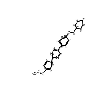 CCCCCCCCOc1ccc(-c2ncc(-c3ccc(OCC4CCCCC4)cc3)cn2)cc1